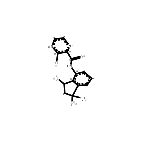 CC1CC(C)(C)c2cccc(NC(=O)c3nccnc3Cl)c21